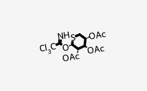 CC(=O)O[C@H]1[C@H](OC(C)=O)[C@H](OC(=N)C(Cl)(Cl)Cl)SC[C@@H]1OC(C)=O